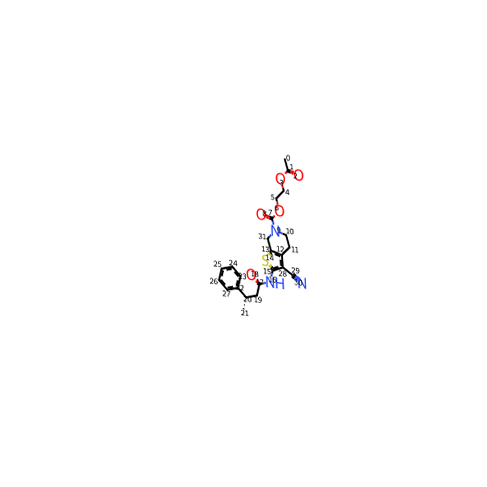 CC(=O)OCCOC(=O)N1CCc2c(sc(NC(=O)C[C@H](C)c3ccccc3)c2C#N)C1